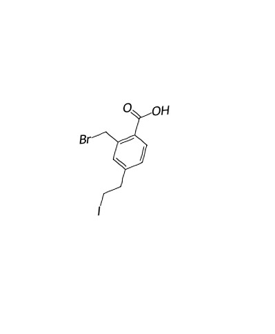 O=C(O)c1ccc(CCI)cc1CBr